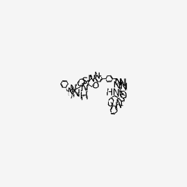 Cc1nc(C(=O)NC2COc3cc(-c4ccc(Cn5nnc(C(=O)NC6COc7ccccc7N(C)C6=S)n5)cc4)cnc3N(C)C2=S)nn1Cc1ccccc1